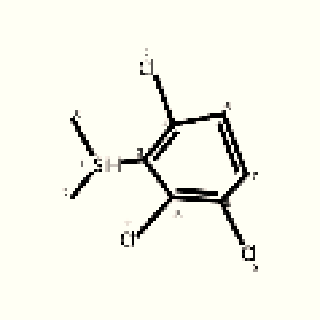 C[SiH](C)c1c(Cl)ccc(Cl)c1Cl